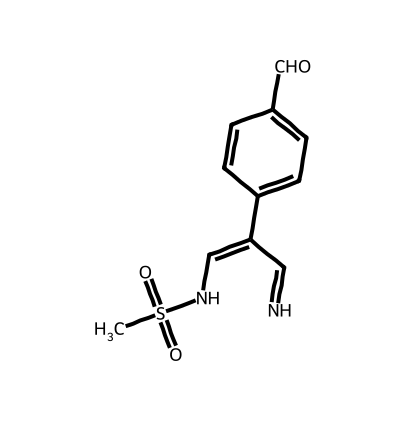 CS(=O)(=O)N/C=C(\C=N)c1ccc(C=O)cc1